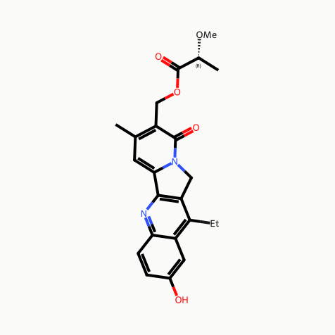 CCc1c2c(nc3ccc(O)cc13)-c1cc(C)c(COC(=O)[C@@H](C)OC)c(=O)n1C2